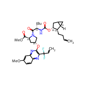 C=CCC[C@H]1[C@H](OC(=O)N[C@H](C(=O)N2C[C@H](Oc3nc4cc(OC)ccc4nc3C(F)(F)C=C)C[C@H]2C(=O)OC)C(C)(C)C)CC2C[C@@H]21